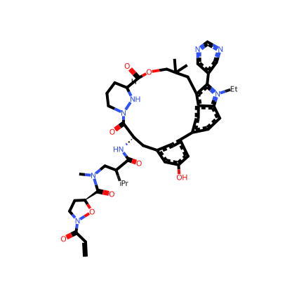 C=CC(=O)N1CC[C@@H](C(=O)N(C)CC(C(=O)N[C@H]2Cc3cc(O)cc(c3)-c3ccc4c(c3)c(c(-c3cncnc3)n4CC)CC(C)(C)COC(=O)[C@@H]3CCCN(N3)C2=O)C(C)C)O1